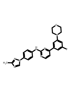 Cc1ncn(-c2ccc(Nc3nccc(-c4cc(F)cc(N5CCOCC5)c4)n3)cc2)n1